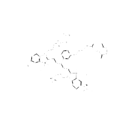 CC1(C)C(=CC=C(C=CC2=[N+](CCCS(=O)(=O)O)c3ccc(S(=O)(=O)[O-])cc3C2(C)C)c2cccc(CCCCC(=O)ON3C(=O)CCC3=O)c2)N(CCCS(=O)(=O)O)c2ccc(S(=O)(=O)O)cc21.[NaH]